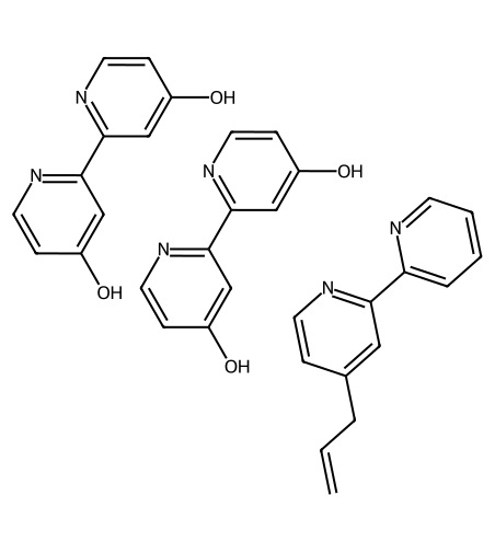 C=CCc1ccnc(-c2ccccn2)c1.Oc1ccnc(-c2cc(O)ccn2)c1.Oc1ccnc(-c2cc(O)ccn2)c1